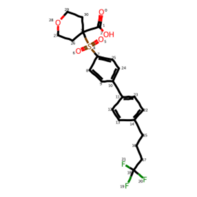 O=C(O)C1(S(=O)(=O)c2ccc(-c3ccc(CCCC(F)(F)F)cc3)cc2)CCOCC1